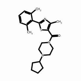 Cc1cccc(C)c1-c1nc(C)c(C(=O)N2CCN(C3CCCC3)CC2)s1